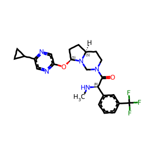 CN[C@@H](C(=O)N1CC[C@@H]2CC[C@H](Oc3cnc(C4CC4)cn3)N2C1)c1cccc(C(F)(F)F)c1